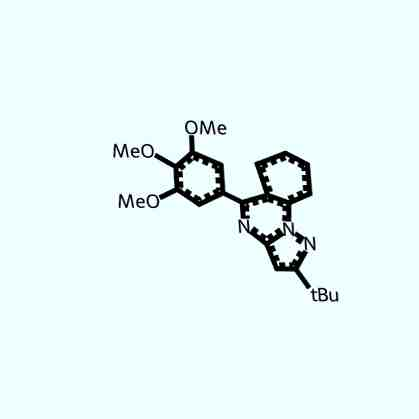 COc1cc(-c2nc3cc(C(C)(C)C)nn3c3ccccc23)cc(OC)c1OC